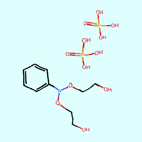 O=P(O)(O)O.O=P(O)(O)O.OCCON(OCCO)c1ccccc1